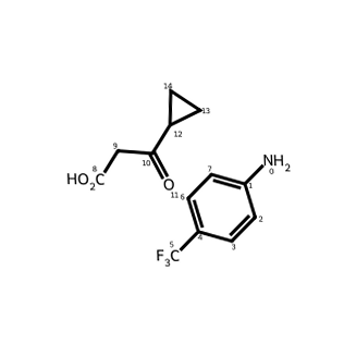 Nc1ccc(C(F)(F)F)cc1.O=C(O)CC(=O)C1CC1